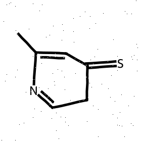 CC1=CC(=S)CC=N1